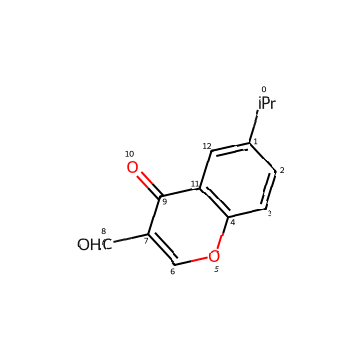 CC(C)c1ccc2occ(C=O)c(=O)c2c1